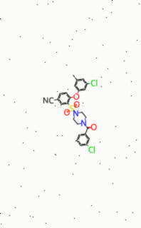 Cc1cc(Cl)cc(Oc2ccc(C#N)cc2S(=O)(=O)N2CCN(C(=O)c3cccc(Cl)c3)CC2)c1